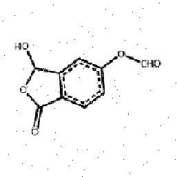 O=COc1ccc2c(c1)C(O)OC2=O